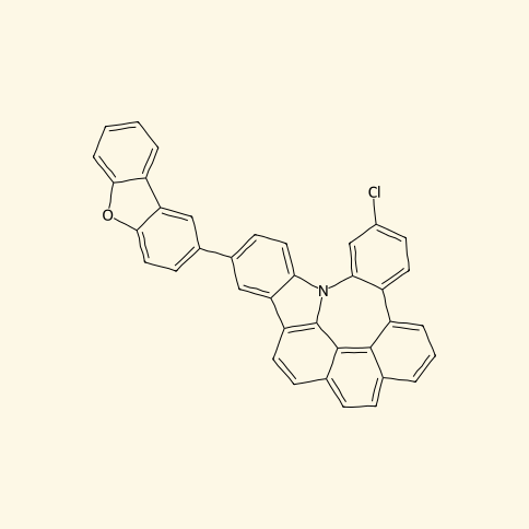 Clc1ccc2c3cccc4ccc5ccc6c7cc(-c8ccc9oc%10ccccc%10c9c8)ccc7n(c2c1)c6c5c43